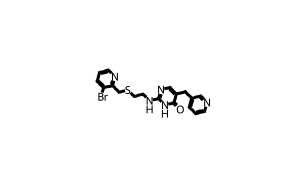 O=c1[nH]c(NCCSCc2ncccc2Br)ncc1Cc1cccnc1